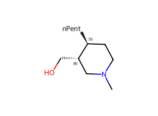 CCCCC[C@H]1CCN(C)C[C@@H]1CO